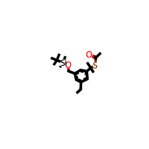 CCc1cc(CO[Si](C)(C)C(C)(C)C)cc(C(C)(C)SC(C)=O)c1